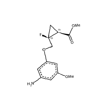 COC(=O)[C@@H]1C[C@@]1(F)COc1cc(N)cc(OC)c1